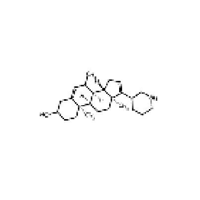 CC1C=C2CC(O)CC[C@]2(C)[C@@H]2CC[C@]3(C)C(C4CCCNC4)=CC[C@H]3[C@H]12